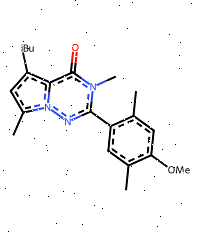 CCC(C)c1cc(C)n2nc(-c3cc(C)c(OC)cc3C)n(C)c(=O)c12